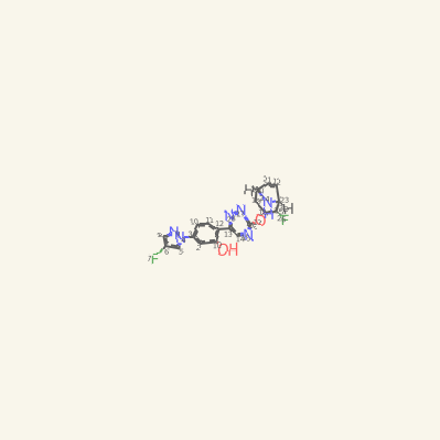 Oc1cc(-n2cc(F)cn2)ccc1-c1cnc(O[C@H]2C[C@@H]3C=C[C@@H](N3)[C@H]2F)nn1